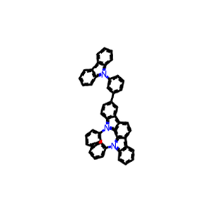 c1ccc(-n2c3ccccc3c3ccc4c5cc(-c6cccc(-n7c8ccccc8c8ccccc87)c6)ccc5n(-c5ccccc5)c4c32)cc1